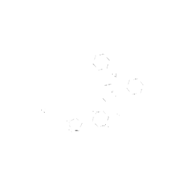 Cl.Nc1ncc(-c2cnn(C3CCNCC3)c2)nc1C(=O)O[C@@H](C(=O)Nc1ccc(F)cc1)c1ccccc1